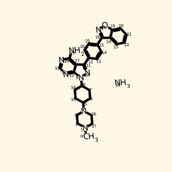 CN1CCN(C2CCC(n3nc(-c4ccc(-c5noc6ccccc56)cc4)c4c(N)ncnc43)CC2)CC1.N